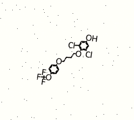 Oc1cc(Cl)c(OCCCCOc2ccc(OC(F)(F)F)cc2)c(Cl)c1